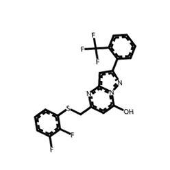 Oc1cc(CSc2cccc(F)c2F)nc2cc(-c3ccccc3C(F)(F)F)nn12